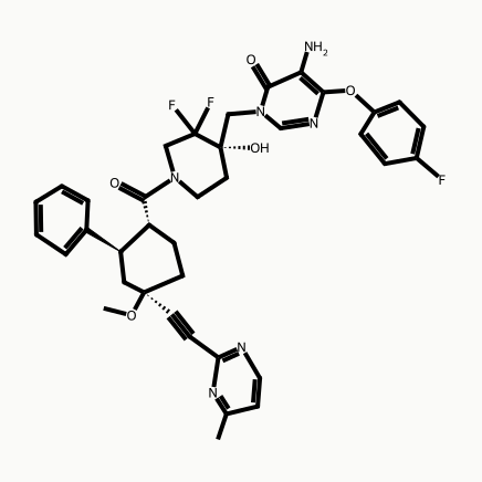 CO[C@]1(C#Cc2nccc(C)n2)CC[C@@H](C(=O)N2CC[C@](O)(Cn3cnc(Oc4ccc(F)cc4)c(N)c3=O)C(F)(F)C2)[C@H](c2ccccc2)C1